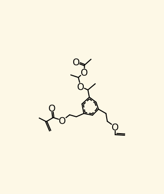 C=COCCc1cc(CCOC(=O)C(=C)C)cc(C(C)OC(C)OC(C)=O)c1